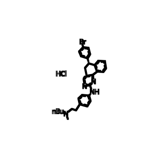 CCCCN(C)CCc1ccc(Nc2ncc3c(n2)-c2ccccc2[C@H](c2ccc(Br)cc2)C3)cc1.Cl